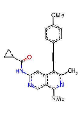 CNc1nc(C)c(C#Cc2ccc(OC)cc2)c2cc(NC(=O)C3CC3)ncc12